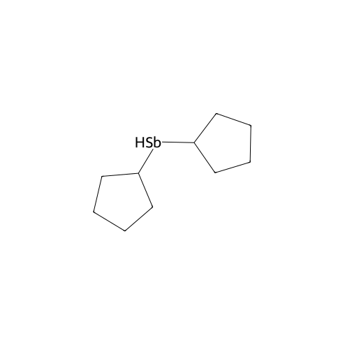 C1CC[CH]([SbH][CH]2CCCC2)C1